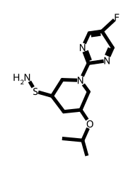 CC(C)OC1CC(SN)CN(c2ncc(F)cn2)C1